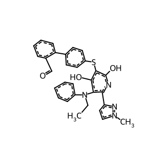 CCN(c1ccccc1)c1c(-c2ccn(C)n2)nc(O)c(Sc2ccc(-c3ccccc3C=O)cc2)c1O